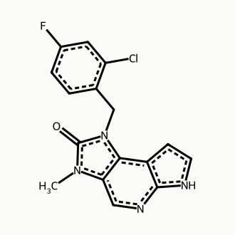 Cn1c(=O)n(Cc2ccc(F)cc2Cl)c2c3cc[nH]c3ncc21